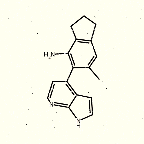 Cc1cc2c(c(N)c1-c1ccnc3[nH]ccc13)CCC2